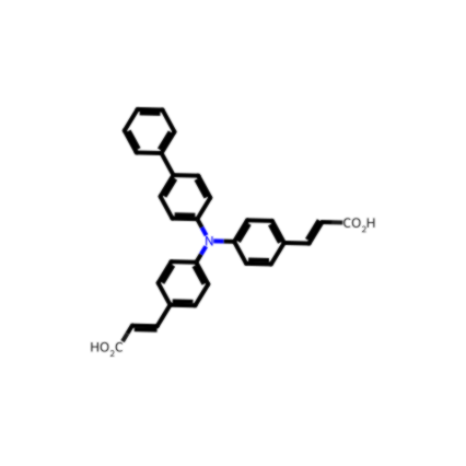 O=C(O)/C=C/c1ccc(N(c2ccc(/C=C/C(=O)O)cc2)c2ccc(-c3ccccc3)cc2)cc1